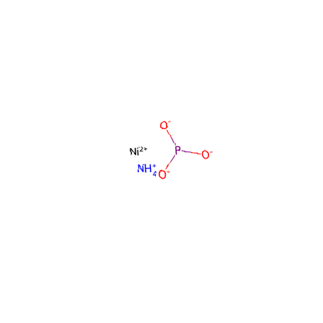 [NH4+].[Ni+2].[O-]P([O-])[O-]